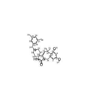 COc1cc2c(c(OC)c1)C(C)(C)C=C1N(C2)C(=O)NC12CCN(Cc1cc(C)cc(C)c1)CC2